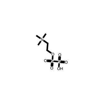 C[Si](C)(C)CCOS(=O)(=O)S(=O)(=O)O